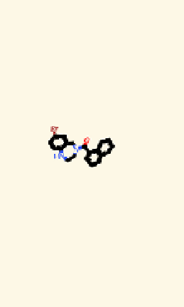 O=C(c1cccc2ccccc12)N1CCNc2ccc(Br)cc2C1